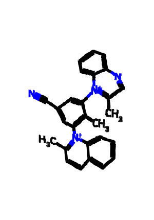 Cc1c(-[n+]2c(C)ccc3ccccc32)cc(C#N)cc1-[n+]1c(C)cnc2ccccc21